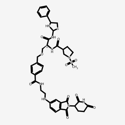 CS(=O)(=O)N1CCC(C(=O)N[C@@H](COCc2ccc(C(=O)NCCNc3ccc4c(c3)C(=O)N(C3CCC(=O)NC3=O)C4=O)cc2)C(=O)NC2NC(c3ccccc3)CS2)C1